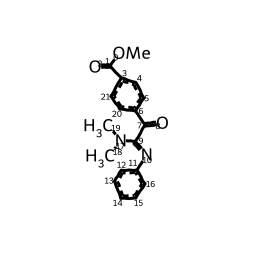 COC(=O)c1ccc(C(=O)C(=Nc2ccccc2)N(C)C)cc1